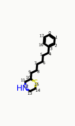 c1ccc(CCCCCCC2CNCCS2)cc1